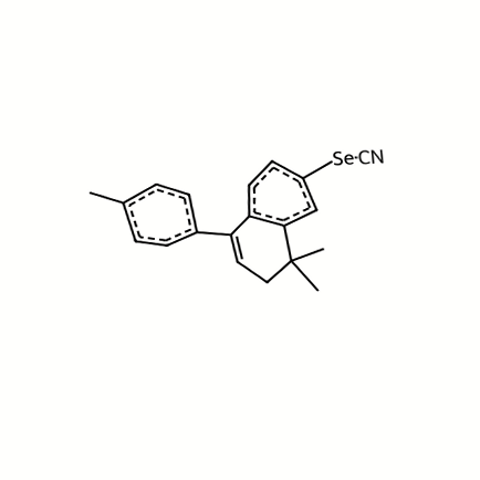 Cc1ccc(C2=CCC(C)(C)c3cc([Se]C#N)ccc32)cc1